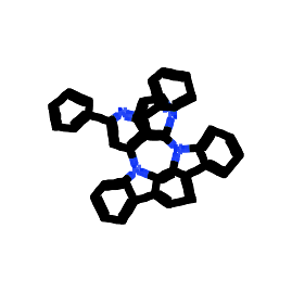 c1ccc(-c2cc(-n3c4ccccc4c4ccc5c6ccccc6n(-c6ccccn6)c5c43)cc(-c3ccccc3)n2)cc1